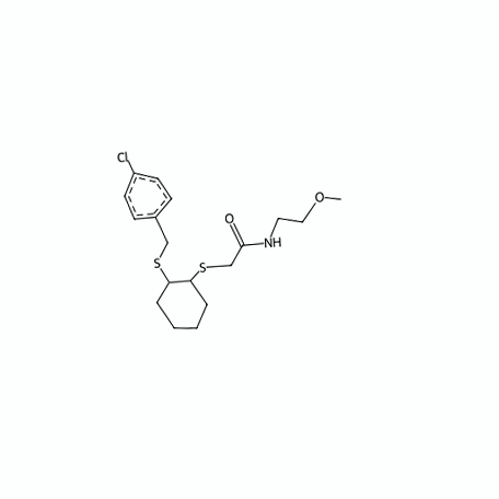 COCCNC(=O)CSC1CCCCC1SCc1ccc(Cl)cc1